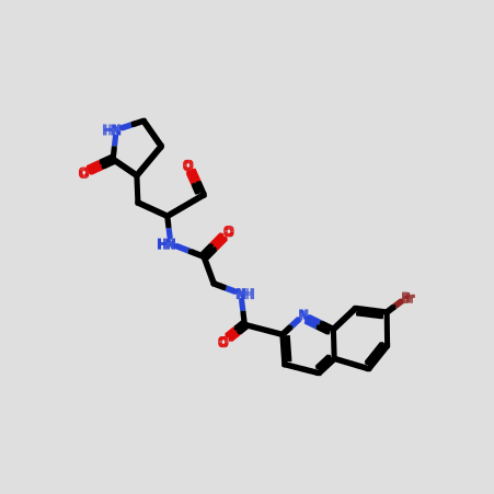 O=CC(CC1CCNC1=O)NC(=O)CNC(=O)c1ccc2ccc(Br)cc2n1